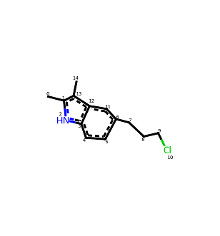 Cc1[nH]c2ccc(CCCCl)cc2c1C